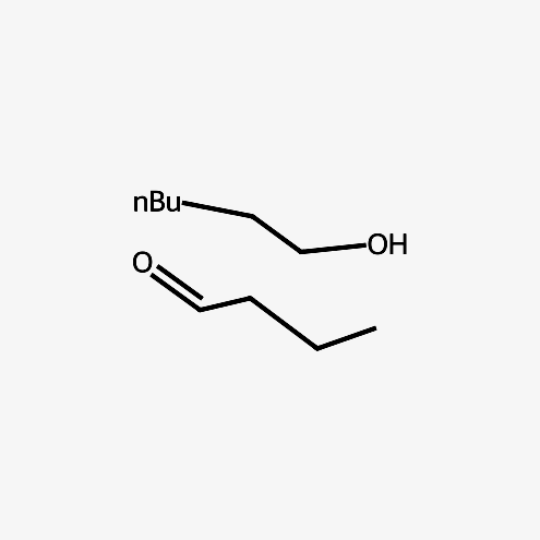 CCCC=O.CCCCCCO